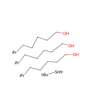 CC(C)CCCCCO.CC(C)CCCCCO.CC(C)CCCCCO.CCC[CH2][SnH]